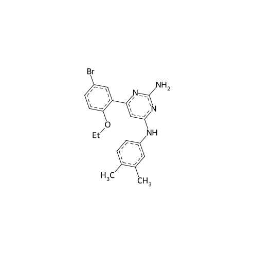 CCOc1ccc(Br)cc1-c1cc(Nc2ccc(C)c(C)c2)nc(N)n1